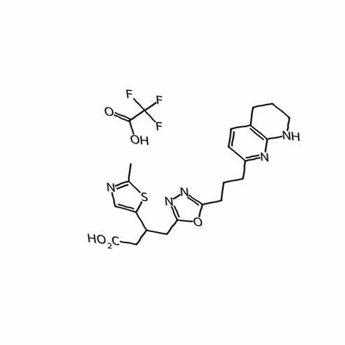 Cc1ncc(C(CC(=O)O)Cc2nnc(CCCc3ccc4c(n3)NCCC4)o2)s1.O=C(O)C(F)(F)F